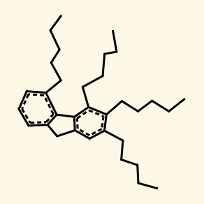 CCCCCc1[c]c2c(c(CCCCC)c1CCCCC)-c1c(CCCCC)cccc1C2